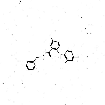 Cc1cc(I)ccc1Nc1ccc(F)cc1C(=O)NOCc1ccccc1